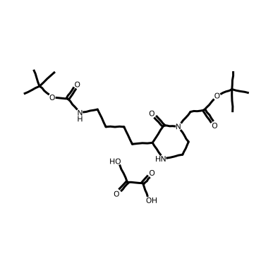 CC(C)(C)OC(=O)CN1CCNC(CCCCNC(=O)OC(C)(C)C)C1=O.O=C(O)C(=O)O